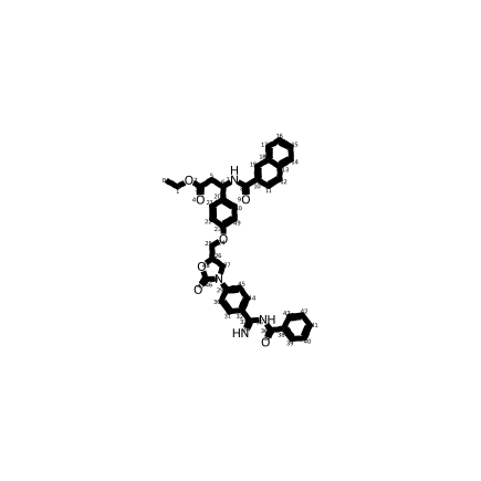 CCOC(=O)CC(NC(=O)c1ccc2ccccc2c1)c1ccc(OCC2CN(c3ccc(C(=N)NC(=O)c4ccccc4)cc3)C(=O)O2)cc1